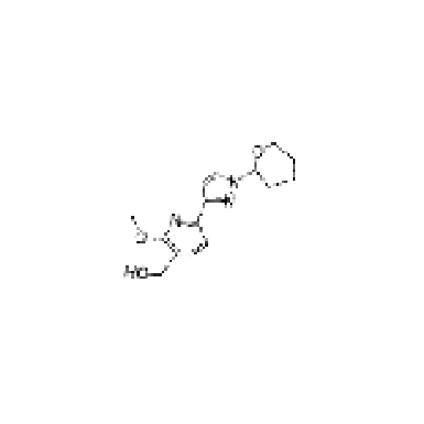 COc1nc(-c2ccn(C3CCCCO3)n2)ccc1CO